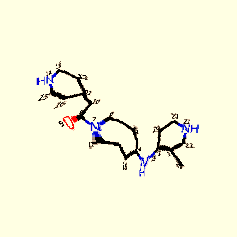 CC1=C(NC2CCN(C(=O)CC3CCNCC3)CC2)CCNC1